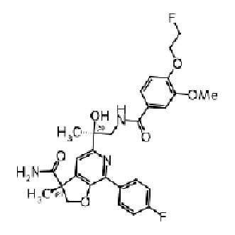 COc1cc(C(=O)NC[C@](C)(O)c2cc3c(c(-c4ccc(F)cc4)n2)OC[C@]3(C)C(N)=O)ccc1OCCF